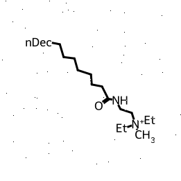 CCCCCCCCCCCCCCCCCC(=O)NCC[N+](C)(CC)CC